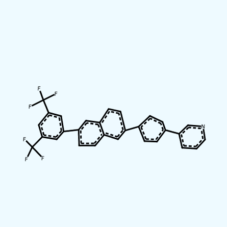 FC(F)(F)c1cc(-c2ccc3cc(-c4ccc(-c5cccnc5)cc4)ccc3c2)cc(C(F)(F)F)c1